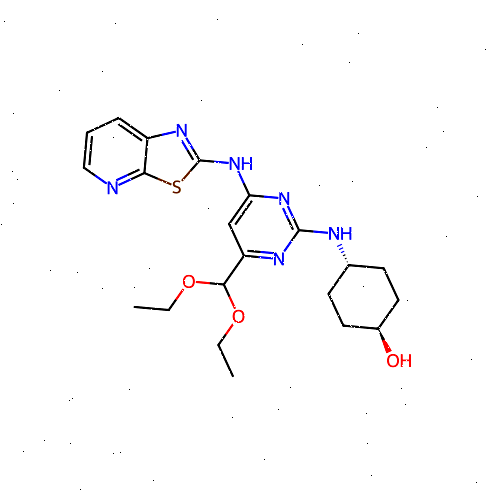 CCOC(OCC)c1cc(Nc2nc3cccnc3s2)nc(N[C@H]2CC[C@H](O)CC2)n1